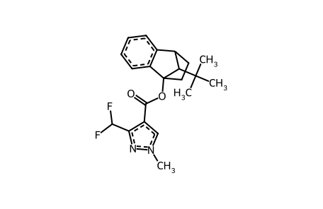 Cn1cc(C(=O)OC23CCC(c4ccccc42)C3C(C)(C)C)c(C(F)F)n1